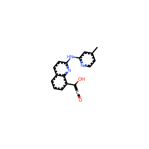 Cc1ccnc(Nc2ccc3cccc(C(O)=C=O)c3n2)c1